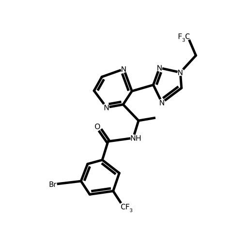 CC(NC(=O)c1cc(Br)cc(C(F)(F)F)c1)c1nccnc1-c1ncn(CC(F)(F)F)n1